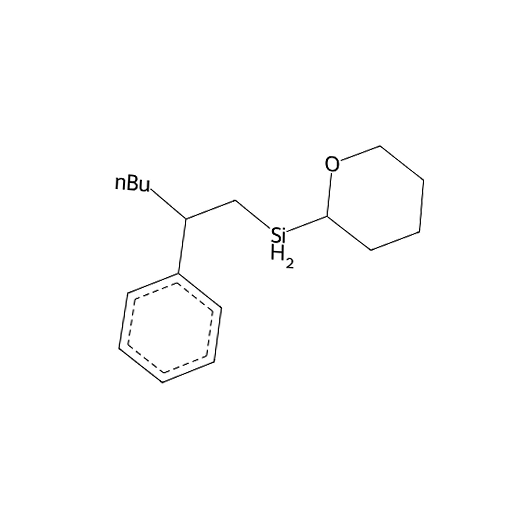 CCCCC(C[SiH2]C1CCCCO1)c1ccccc1